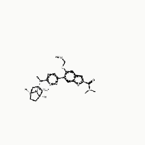 COCOc1cc2cc(C(=O)N(C)C)oc2cc1-c1cnc(N(C)[C@H]2C[C@@H]3CC[C@H]([C@H]2F)N3C(=O)O)nn1